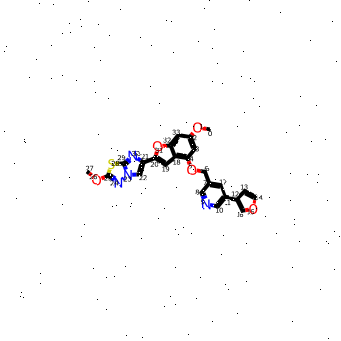 COc1cc(OCc2cncc(-c3ccoc3)c2)c2cc(-c3cn4nc(OC)sc4n3)oc2c1